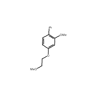 COCCOc1ccc(C(C)C)c(OC)c1